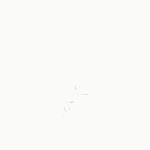 CCCCCCCCCCCCCCCCCOCC(O)COC(=O)CC(CC)OC(C)=O